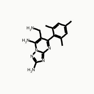 Cc1cc(C)c(-c2nc3nc(N)nn3c(N)c2CN)c(C)c1